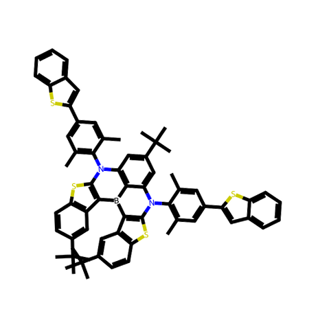 Cc1cc(-c2cc3ccccc3s2)cc(C)c1N1c2cc(C(C)(C)C)cc3c2B(c2c1sc1ccc(C(C)(C)C)cc21)c1c(sc2ccc(C(C)(C)C)cc12)N3c1c(C)cc(-c2cc3ccccc3s2)cc1C